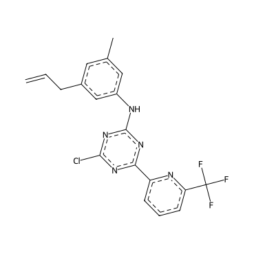 C=CCc1cc(C)cc(Nc2nc(Cl)nc(-c3cccc(C(F)(F)F)n3)n2)c1